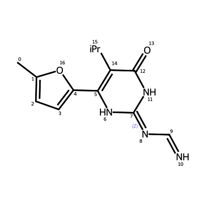 Cc1ccc(-c2[nH]/c(=N/C=N)[nH]c(=O)c2C(C)C)o1